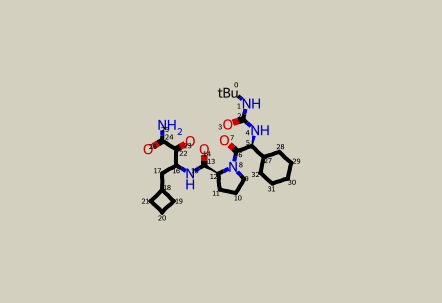 CC(C)(C)NC(=O)N[C@H](C(=O)N1CCC[C@H]1C(=O)NC(CC1CCC1)C(=O)C(N)=O)C1CCCCC1